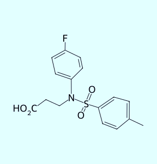 Cc1ccc(S(=O)(=O)N(CCC(=O)O)c2ccc(F)cc2)cc1